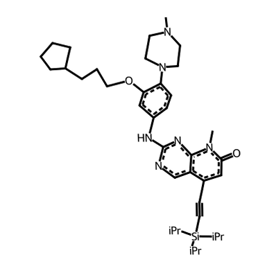 CC(C)[Si](C#Cc1cc(=O)n(C)c2nc(Nc3ccc(N4CCN(C)CC4)c(OCCCC4CCCC4)c3)ncc12)(C(C)C)C(C)C